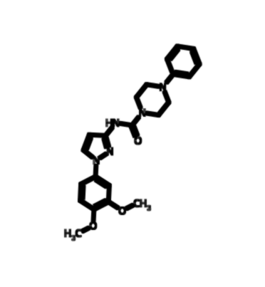 COc1ccc(-n2ccc(NC(=O)N3CCN(c4ccccc4)CC3)n2)cc1OC